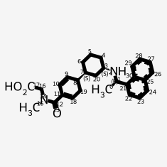 C[C@@H](N[C@H]1CCC[C@H](C2C=CC(C(=O)N(C)CC(=O)O)=CC2)C1)c1cccc2ccccc12